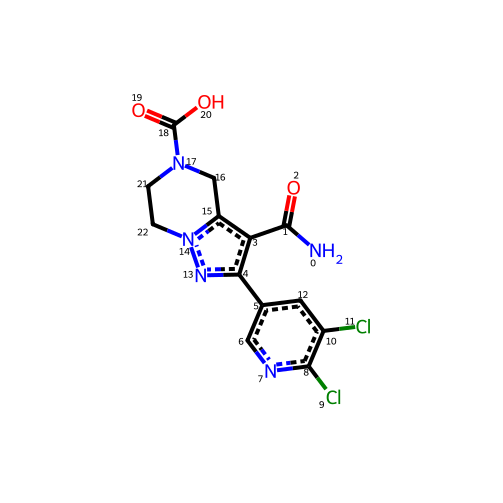 NC(=O)c1c(-c2cnc(Cl)c(Cl)c2)nn2c1CN(C(=O)O)CC2